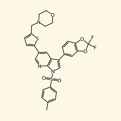 Cc1ccc(S(=O)(=O)n2cc(-c3ccc4c(c3)OC(F)(F)O4)c3cc(-c4ccc(CN5CCOCC5)s4)cnc32)cc1